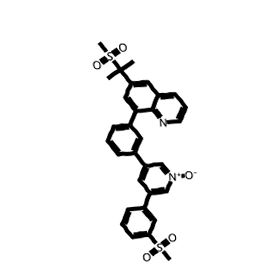 CC(C)(c1cc(-c2cccc(-c3cc(-c4cccc(S(C)(=O)=O)c4)c[n+]([O-])c3)c2)c2ncccc2c1)S(C)(=O)=O